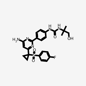 CC(C)(CO)NC(=O)Nc1ccc(-c2nc(N)cc(C3(S(=O)(=O)c4ccc(F)cc4)CC3)n2)cc1